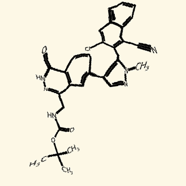 Cn1ncc(-c2ccc3c(=O)[nH]nc(CNC(=O)OC(C)(C)C)c3c2)c1-c1c(Cl)cc2ccccc2c1C#N